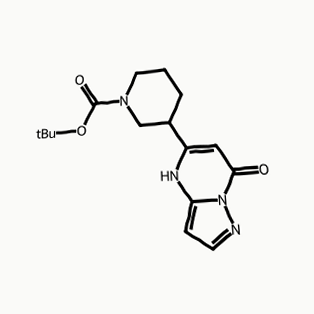 CC(C)(C)OC(=O)N1CCCC(c2cc(=O)n3nccc3[nH]2)C1